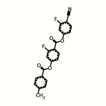 Cc1ccc(C(=O)Oc2ccc(C(=O)Oc3ccc(C#N)c(F)c3)c(F)c2)cc1